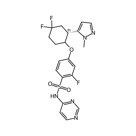 Cn1nccc1[C@H]1CC(F)(F)CCC1Oc1ccc(S(=O)(=O)Nc2ccncn2)c(F)c1